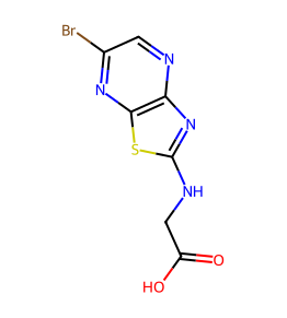 O=C(O)CNc1nc2ncc(Br)nc2s1